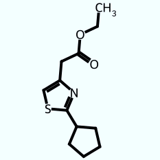 CCOC(=O)Cc1csc(C2CCCC2)n1